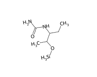 CCC(NC(N)=O)C(C)O[SiH3]